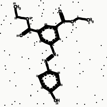 CCOC(=O)c1cc(N=Nc2ccc(O)cc2)cc(C(=O)OCC)c1